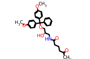 COc1ccc(C(OC[C@H](O)CNC(=O)CCCC(C)=O)(c2ccccc2)c2ccc(OC)cc2)cc1